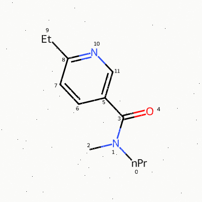 CCCN(C)C(=O)c1ccc(CC)nc1